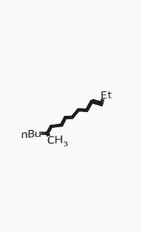 [CH2]CC=CCCCCCCC(C)CCC[CH2]